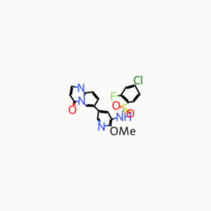 COc1ncc(-c2ccc3nccc(=O)n3c2)cc1NS(=O)(=O)c1ccc(Cl)cc1F